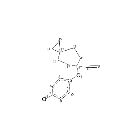 C#CC1(Oc2ccc(Cl)cc2)CCC2(CC2)CC1